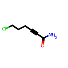 NC(=O)C#CCCCCl